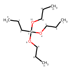 CC[CH][Si](OCCC)(OCCC)OCCC